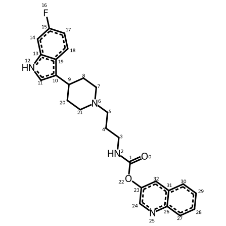 O=C(NCCCN1CCC(c2c[nH]c3cc(F)ccc23)CC1)Oc1cnc2ccccc2c1